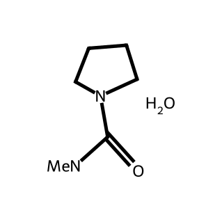 CNC(=O)N1CCCC1.O